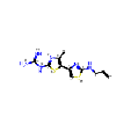 C=CCNc1nc(-c2sc(NC(=N)N)nc2C)cs1